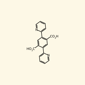 O=C(O)c1cc(-c2ccccn2)c(C(=O)O)cc1-c1ccccn1